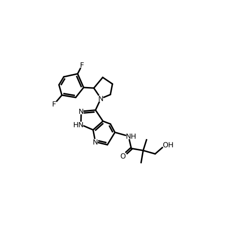 CC(C)(CO)C(=O)Nc1cnc2[nH]nc(N3CCCC3c3cc(F)ccc3F)c2c1